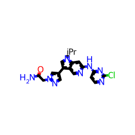 CC(C)n1cc(-c2cnn(CC(N)=O)c2)c2cnc(Nc3ccnc(Cl)n3)cc21